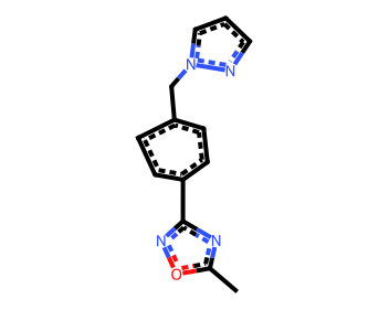 Cc1nc(-c2ccc(Cn3cccn3)cc2)no1